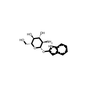 N[C@H]1[C@H](Oc2cc3ccccc3[nH]2)O[C@H](CO)[C@@H](O)[C@@H]1O